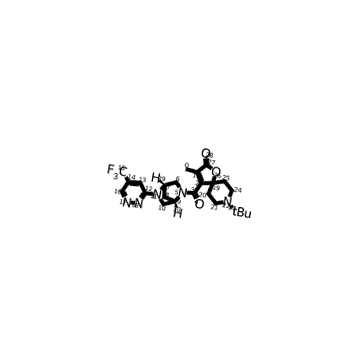 CC1=C(C(=O)N2C[C@@H]3C[C@H]2CN3c2cc(C(F)(F)F)cnn2)C2(CCN(C(C)(C)C)CC2)OC1=O